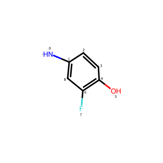 [NH]c1ccc(O)c(F)c1